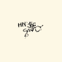 Cc1cccc(S(=O)(=O)n2nc3c(c2NC(=O)c2ccsc2)CNC3)c1